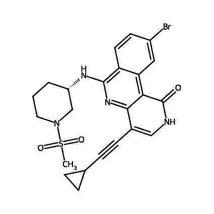 CS(=O)(=O)N1CCC[C@H](Nc2nc3c(C#CC4CC4)c[nH]c(=O)c3c3cc(Br)ccc23)C1